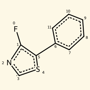 Fc1n[c]sc1-c1ccccc1